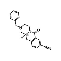 N#Cc1ccc2c(c1)C(=O)N1CCN(Cc3ccccc3)C[C@H]1C2